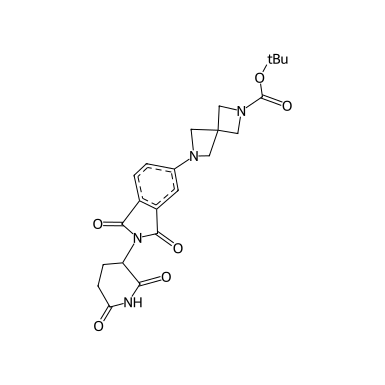 CC(C)(C)OC(=O)N1CC2(C1)CN(c1ccc3c(c1)C(=O)N(C1CCC(=O)NC1=O)C3=O)C2